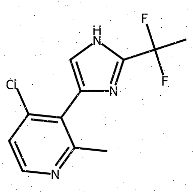 Cc1nccc(Cl)c1-c1c[nH]c(C(C)(F)F)n1